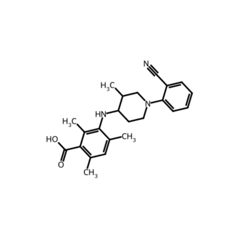 Cc1cc(C)c(C(=O)O)c(C)c1NC1CCN(c2ccccc2C#N)CC1C